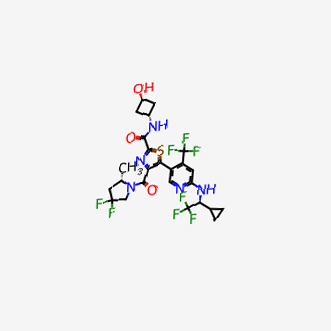 C[C@H]1CC(F)(F)CN1C(=O)c1nc(C(=O)N[C@H]2C[C@H](O)C2)sc1-c1cnc(N[C@@H](C2CC2)C(F)(F)F)cc1C(F)(F)F